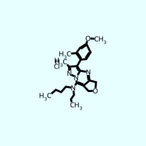 CCCCN(CCC)c1c2c(nc3c(-c4ccc(OC)cc4C)c(C)nn13)COC2.Cl